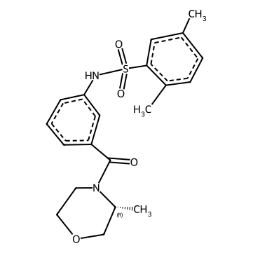 Cc1ccc(C)c(S(=O)(=O)Nc2cccc(C(=O)N3CCOC[C@H]3C)c2)c1